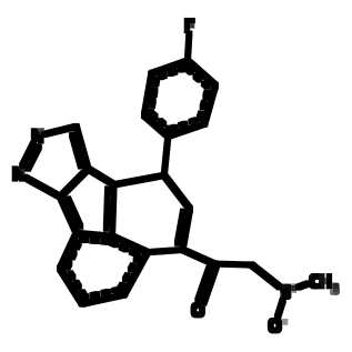 C[S+]([O-])CC(=O)C1=CC(c2ccc(F)cc2)C2=c3c1cccc3=C1N=NC=C12